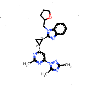 Cc1nc([C@@H]2C[C@H]2c2nc3ccccc3n2CC2CCCO2)cc(-n2nc(C)nc2C)n1